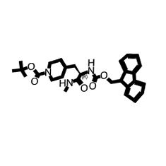 CNC(=O)[C@@H](CC1CCN(C(=O)OC(C)(C)C)CC1)NC(=O)OCC1c2ccccc2-c2ccccc21